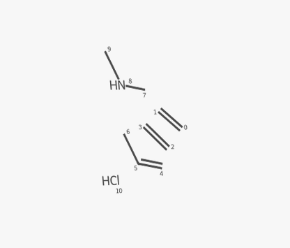 C=C.C=C.C=CC.CNC.Cl